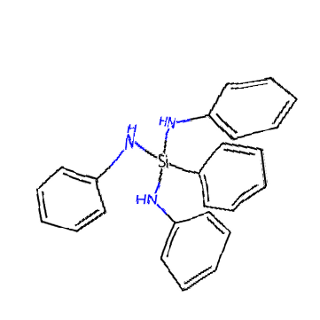 c1ccc(N[Si](Nc2ccccc2)(Nc2ccccc2)c2ccccc2)cc1